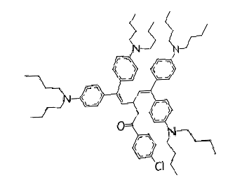 CCCCN(CCCC)c1ccc(C(=CC(C=C(c2ccc(N(CCCC)CCCC)cc2)c2ccc(N(CCCC)CCCC)cc2)CC(=O)c2ccc(Cl)cc2)c2ccc(N(CCCC)CCCC)cc2)cc1